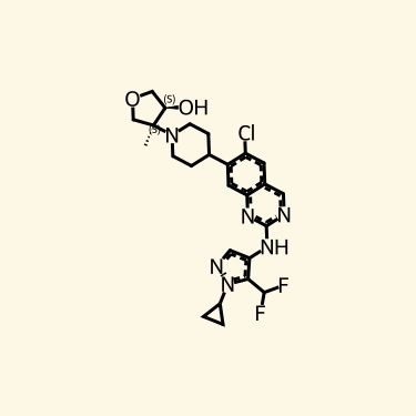 C[C@]1(N2CCC(c3cc4nc(Nc5cnn(C6CC6)c5C(F)F)ncc4cc3Cl)CC2)COC[C@H]1O